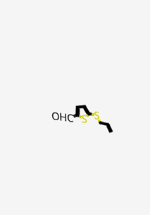 C=CCSc1ccc(C=O)s1